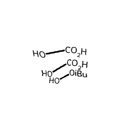 CC(C)COO.O=C(O)O.O=C(O)O